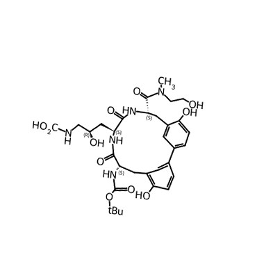 CN(CCO)C(=O)[C@@H]1Cc2cc(ccc2O)-c2ccc(O)c(c2)C[C@H](NC(=O)OC(C)(C)C)C(=O)N[C@@H](C[C@@H](O)CNC(=O)O)C(=O)N1